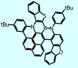 CC(C)(C)c1ccc(N2B3c4sc5ccccc5c4N(c4ccc(C(C)(C)C)cc4-c4ccccc4)c4cc5ccccc5c(c43)-c3c2ccc2oc4ccccc4c32)cc1